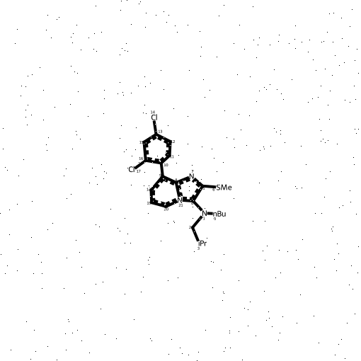 CCCCN(CC(C)C)c1c(SC)nc2c(-c3ccc(Cl)cc3Cl)cccn12